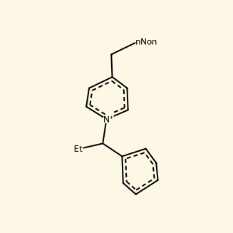 CCCCCCCCCCc1cc[n+](C(CC)c2ccccc2)cc1